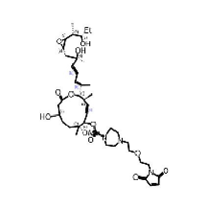 CC[C@H](O)[C@@H](C)[C@@H]1O[C@H]1C[C@@](C)(O)/C=C/C=C(\C)[C@H]1OC(=O)C[C@H](O)CC[C@@](C)(OC)[C@H](OC(=O)N2CCN(CCOCCN3C(=O)C=CC3=O)CC2)/C=C/[C@@H]1C